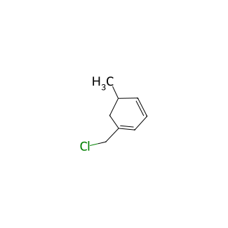 CC1C=CC=C(CCl)C1